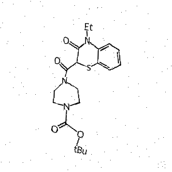 CCN1C(=O)C(C(=O)N2CCN(C(=O)OC(C)(C)C)CC2)Sc2ccccc21